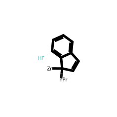 CCC[C]1([Zr])C=Cc2ccccc21.F